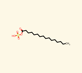 CCCCCCCCCCCCCCCC(=O)OS(=O)(=O)O